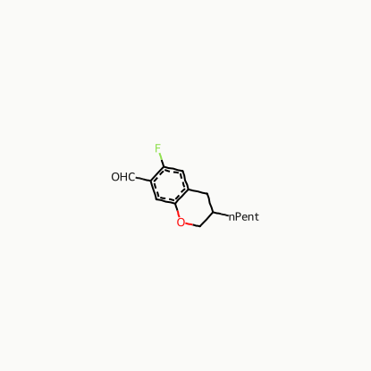 CCCCCC1COc2cc(C=O)c(F)cc2C1